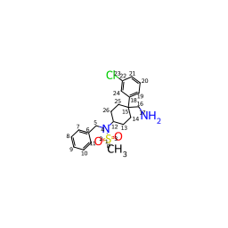 CS(=O)(=O)N(Cc1ccccc1)C1CCC(CN)(c2cccc(Cl)c2)CC1